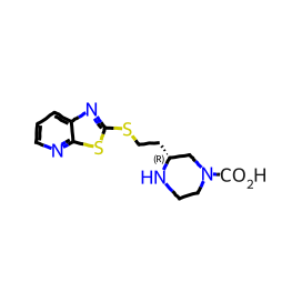 O=C(O)N1CCN[C@H](CCSc2nc3cccnc3s2)C1